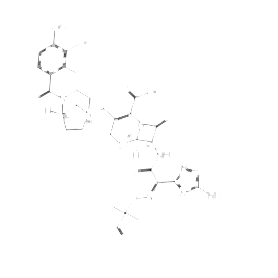 CC(C)(C=O)O/N=C(\C(=O)N[C@@H]1C(=O)N2C(C(=O)O)=C(C[N@@+]34CC[C@@H](C3)N(C(=O)c3ccc(O)c(O)c3Cl)CC4)CS[C@H]12)c1nsc(N)n1